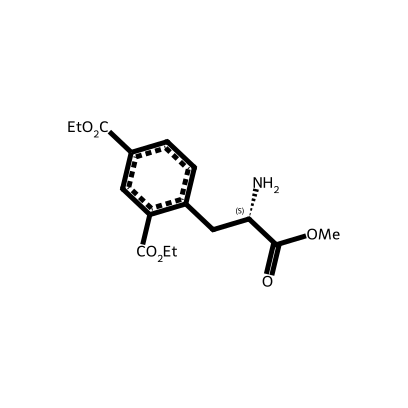 CCOC(=O)c1ccc(C[C@H](N)C(=O)OC)c(C(=O)OCC)c1